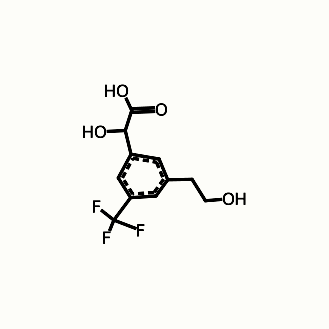 O=C(O)C(O)c1cc(CCO)cc(C(F)(F)F)c1